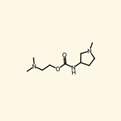 CN(C)CCOC(=O)NC1CCN(C)C1